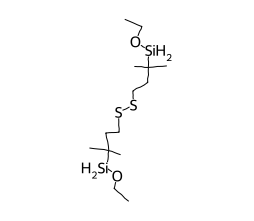 CCO[SiH2]C(C)(C)CCSSCCC(C)(C)[SiH2]OCC